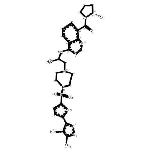 Cc1noc(-c2ccc(S(=O)(=O)N3CCN(CC(C)Nc4ncnc5c(C(=O)N6CCC[C@@H]6C(F)(F)F)cccc45)CC3)s2)c1C